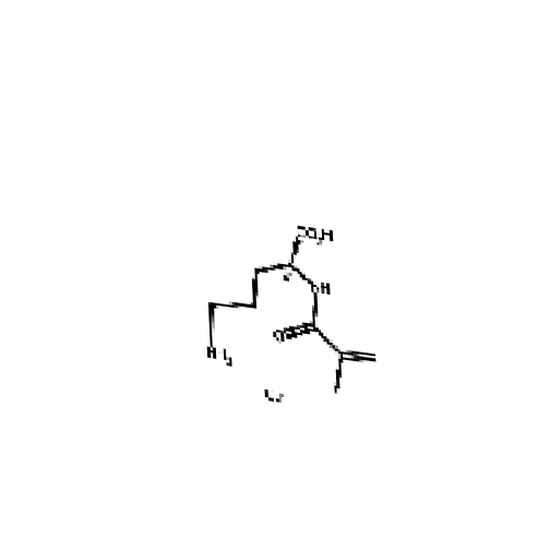 C=C(C)C(=O)N[C@@H](CCCN)C(=O)O.[Cu]